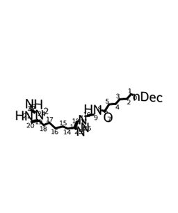 CCCCCCCCCCCCCCCC(=O)NCCn1cc(CCCCCc2c[nH]c(N)n2)nn1